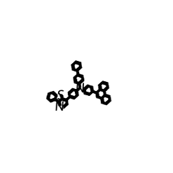 c1ccc(-c2ccc(N(c3ccc(-c4cc5ccccc5c5ccccc45)cc3)c3ccc(-c4ccnc5c4sc4ccccc45)cc3)cc2)cc1